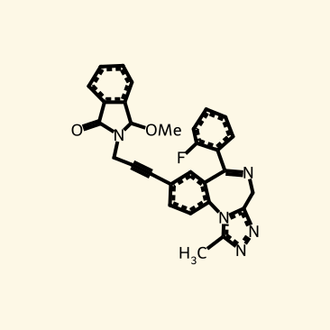 COC1c2ccccc2C(=O)N1CC#Cc1ccc2c(c1)C(c1ccccc1F)=NCc1nnc(C)n1-2